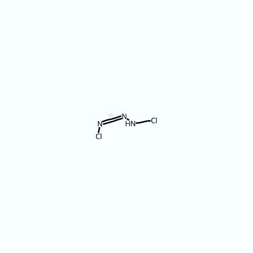 Cl/N=N\NCl